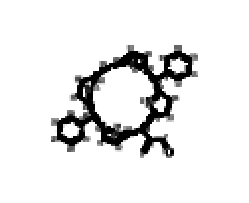 C=C(C=O)c1c2nc(c(-c3ccccc3)c3ccc(cc4nc(c(-c5ccccc5)c5ccc1[nH]5)C=C4)[nH]3)C=C2